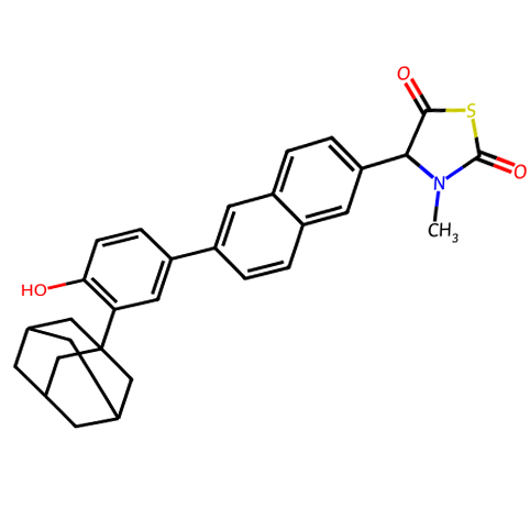 CN1C(=O)SC(=O)C1c1ccc2cc(-c3ccc(O)c(C45CC6CC(CC(C6)C4)C5)c3)ccc2c1